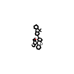 CC1(C)c2ccccc2-c2ccc(-c3ccc4c(c3)C3(c5ccccc5O4)c4ccccc4-c4ccccc43)cc21